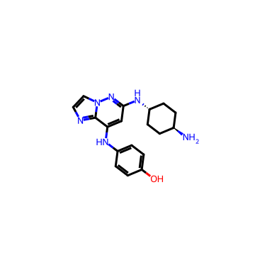 N[C@H]1CC[C@H](Nc2cc(Nc3ccc(O)cc3)c3nccn3n2)CC1